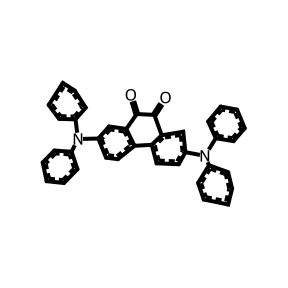 O=C1C(=O)c2cc(N(c3ccccc3)c3ccccc3)ccc2-c2ccc(N(c3ccccc3)c3ccccc3)cc21